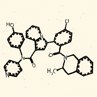 C[C@@H]1Cc2ccccc2CN1C(=O)c1ccc(Cl)cc1-c1cc(C(=O)N(c2ccncc2)c2ccc(O)cc2)c2ccccn12